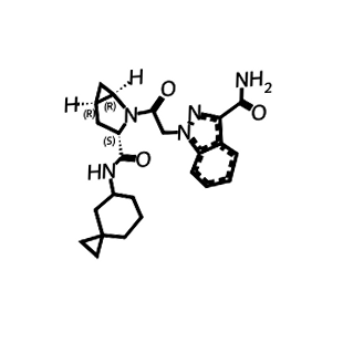 NC(=O)c1nn(CC(=O)N2[C@@H]3C[C@@H]3C[C@H]2C(=O)NC2CCCC3(CC3)C2)c2ccccc12